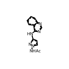 CC(=O)Nn1ccc(Nc2ncnc3ccccc23)n1